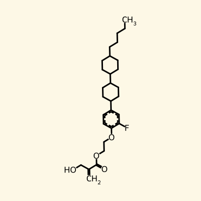 C=C(CO)C(=O)OCCOc1ccc(C2CCC(C3CCC(CCCCC)CC3)CC2)cc1F